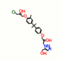 Cc1cc(C(C)(C)c2ccc(OC[C@H](O)Cn3nncc3CO)cc2)ccc1OC[C@H](O)CCl